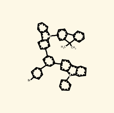 CC1(C)c2ccccc2-c2ccc(-n3c4ccccc4c4ccc(-c5cc(-c6ccc(Br)cc6)cc(-c6ccc7c8ccccc8n(-c8ccccc8)c7c6)c5)cc43)cc21